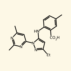 CCc1cc(Nc2ccc(C)cc2C(=O)O)n(-c2cc(C)nc(C)n2)n1